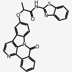 CC(Oc1ccc2c(c1)c1ccnc3c4ccccc4c(=O)n2c13)C(=O)Nc1nc2ccccc2s1